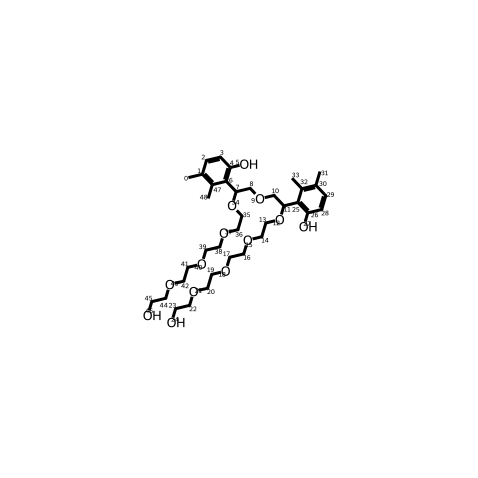 Cc1ccc(O)c(C(COCC(OCCOCCOCCOCCO)c2c(O)ccc(C)c2C)OCCOCCOCCOCCO)c1C